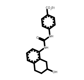 CCOC(=O)c1ccc(NC(=O)Nc2cccc3c2CC(O)CC3)cc1